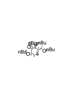 CCCCOC[C@H]1SC[C@H](OCCCC)[C@@H](OCCCC)[C@@H]1OCCCC